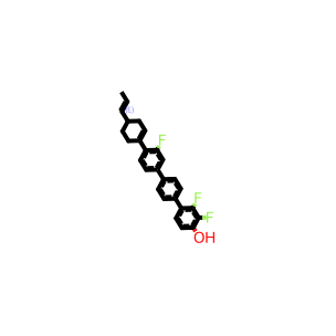 C/C=C/C1CC=C(c2ccc(-c3ccc(-c4ccc(O)c(F)c4F)cc3)cc2F)CC1